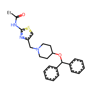 CCC(=O)Nc1nc(CN2CCC(OC(c3ccccc3)c3ccccc3)CC2)cs1